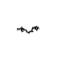 CC(C=CC=C(C)C=CC1=C(C)C(=O)C(O)CC1(C)C)=CC=CC=C(C)C=CC=C(C)C=CC1=C(C)C(=O)C(O)CC1(C)C